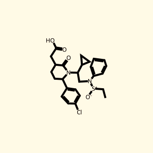 CC[S+]([O-])N(CC(C1CC1)N1C(=O)C(CC(=O)O)CCC1c1ccc(Cl)cc1)c1ccccc1